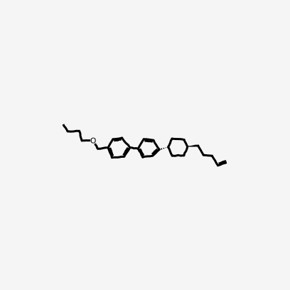 C=CCCC[C@H]1CC[C@H](c2ccc(-c3ccc(COCCCC)cc3)cc2)CC1